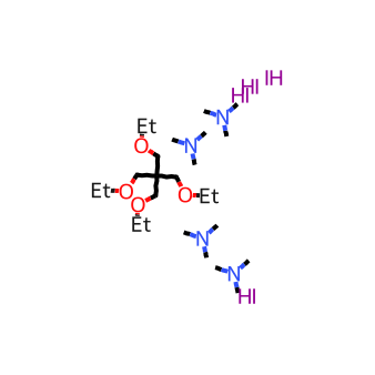 CCOCC(COCC)(COCC)COCC.CN(C)C.CN(C)C.CN(C)C.CN(C)C.I.I.I.I